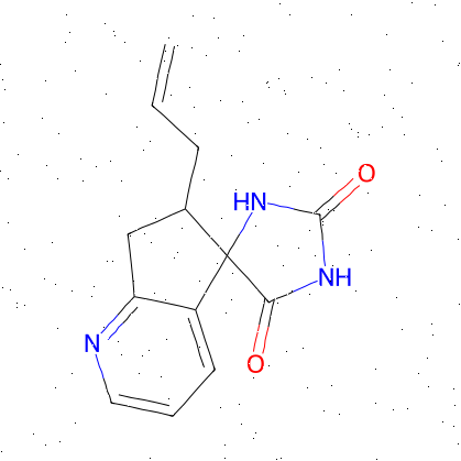 C=CCC1Cc2ncccc2C12NC(=O)NC2=O